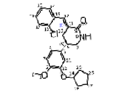 COc1ccc([C@H]2CNC(=O)/C(=C/c3ccccc3Cl)C2)cc1OC1CCCC1